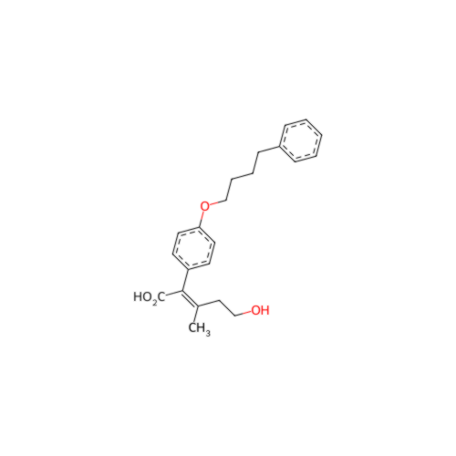 CC(CCO)=C(C(=O)O)c1ccc(OCCCCc2ccccc2)cc1